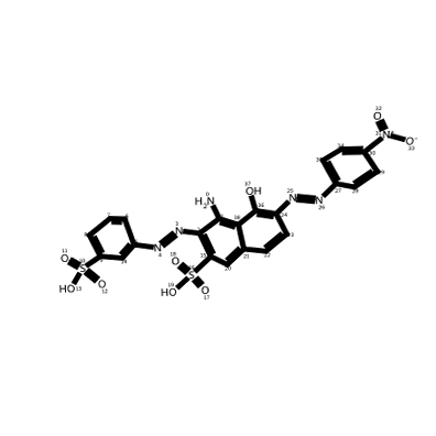 Nc1c(N=Nc2cccc(S(=O)(=O)O)c2)c(S(=O)(=O)O)cc2ccc(N=Nc3ccc([N+](=O)[O-])cc3)c(O)c12